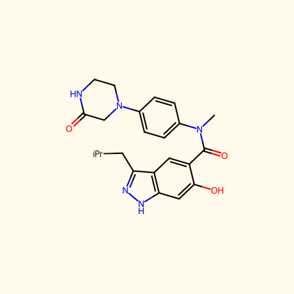 CC(C)Cc1n[nH]c2cc(O)c(C(=O)N(C)c3ccc(N4CCNC(=O)C4)cc3)cc12